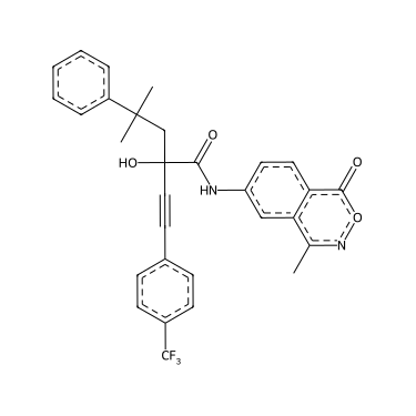 Cc1noc(=O)c2ccc(NC(=O)C(O)(C#Cc3ccc(C(F)(F)F)cc3)CC(C)(C)c3ccccc3)cc12